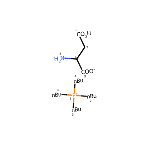 CCCC[P+](CCCC)(CCCC)CCCC.NC(CC(=O)O)C(=O)[O-]